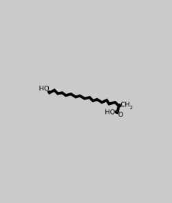 C=C(CCCCCCCCCCCCCCCCO)C(=O)O